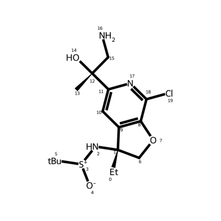 CC[C@]1(N[S+]([O-])C(C)(C)C)COc2c1cc([C@](C)(O)CN)nc2Cl